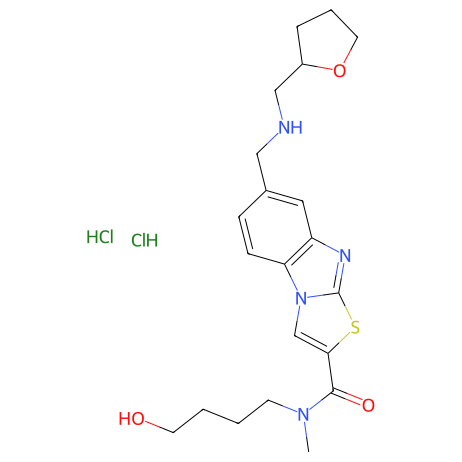 CN(CCCCO)C(=O)c1cn2c(nc3cc(CNCC4CCCO4)ccc32)s1.Cl.Cl